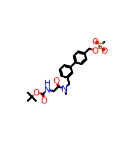 CN(Cc1cccc(-c2ccc(COS(C)(=O)=O)cc2)c1)C(=O)CNC(=O)OC(C)(C)C